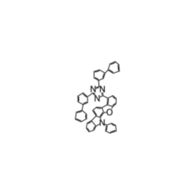 c1ccc(-c2cccc(-c3nc(-c4cccc(-c5ccccc5)c4)nc(-c4cccc5oc6c(ccc7c8ccccc8n(-c8ccccc8)c76)c45)n3)c2)cc1